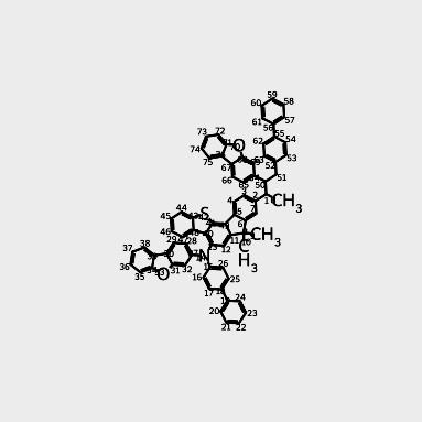 CC(c1ccc2c(c1)C(C)(C)c1cc(N(c3ccc(-c4ccccc4)cc3)c3ccc4c(c3)oc3ccccc34)c3c(sc4ccccc43)c1-2)C(Cc1ccc(-c2ccccc2)cc1)c1ccc2c(c1)oc1ccccc12